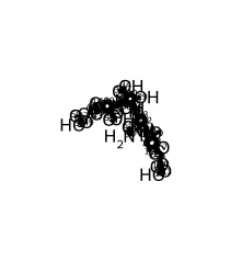 COc1cc(S(=O)(=O)CCOS(=O)(=O)O)c(C)cc1N=Nc1ccc(N=Nc2c(O)cc(C(=O)O)c(N=Nc3ccc(S(=O)(=O)CCOS(=O)(=O)O)cc3S(=O)(=O)O)c2O)cc1NC(N)=O